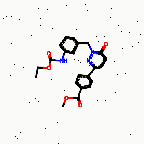 CCOC(=O)Nc1cccc(Cn2nc(-c3ccc(C(=O)OC)cc3)ccc2=O)c1